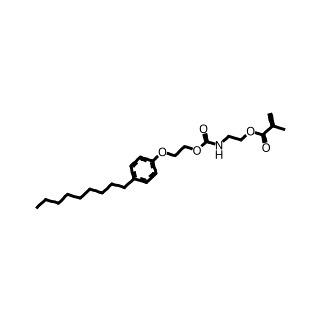 C=C(C)C(=O)OCCNC(=O)OCCOc1ccc(CCCCCCCCC)cc1